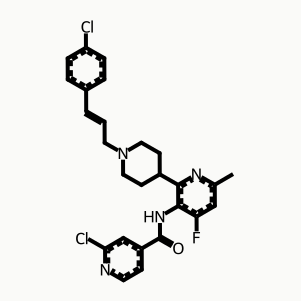 Cc1cc(F)c(NC(=O)c2ccnc(Cl)c2)c(C2CCN(C/C=C/c3ccc(Cl)cc3)CC2)n1